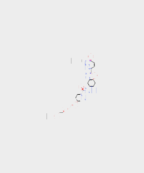 CCOCCOCCOc1ccc(C(=O)Nc2ccc3oc(-c4ccc(=O)n(C)n4)nc3c2)nc1